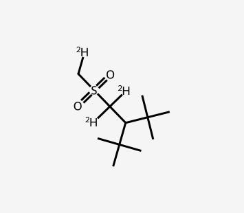 [2H]CS(=O)(=O)C([2H])([2H])C(C(C)(C)C)C(C)(C)C